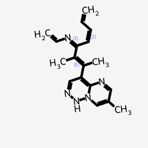 C=C\C=C/C(=N/C=C)C(/C)=C(\C)C1=C2N=CC(C)=CN2NN=C1